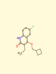 CCc1c(OCC2CCC2)c2cc(F)ccc2[nH]c1=O